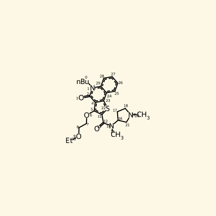 CCCCn1c(=O)c2c(OCCOCC)c(C(=O)N(C)C3CCN(C)C3)sc2c2ccccc21